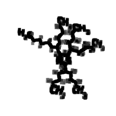 CCCCCCC(CCCCC)c1nc(C(CCCC)CCCC)sc1C(CCCC)CCCC